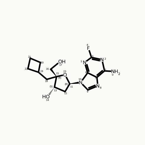 Nc1nc(F)nc2c1ncn2[C@H]1C[C@H](O)[C@](CO)(CC2CCC2)O1